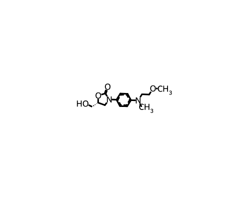 COCCN(C)c1ccc(N2C[C@H](CO)OC2=O)cc1